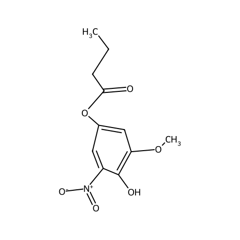 CCCC(=O)Oc1cc(OC)c(O)c([N+](=O)[O-])c1